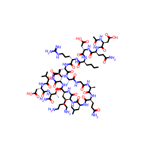 CCCC[C@H](NC(=O)[C@H](CC(=O)O)NC(=O)[C@H](CCC(N)=O)NC(=O)[C@H](CC(=O)O)NC(C)=O)C(=O)N[C@@H](CCCNC(=N)N)C(=O)N[C@@H](CCC(=O)O)C(=O)N[C@@H](C)C(=O)NCC(=O)N[C@@H](C)C(=O)N[C@@H](CCC(N)=O)C(=O)N[C@@H](CC(C)C)C(=O)N[C@@H](CCCCN)C(=O)N[C@@H](CCCCN)C(=O)N[C@@H](CC(C)C)C(=O)N[C@H](C(=O)N[C@@H](CC(=O)O)C(=O)N[C@H](C(N)=O)[C@@H](C)O)C(C)C